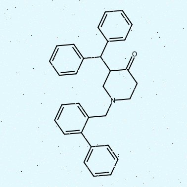 O=C1CCN(Cc2ccccc2-c2ccccc2)CC1C(c1ccccc1)c1ccccc1